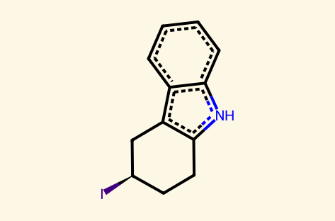 I[C@@H]1CCc2[nH]c3ccccc3c2C1